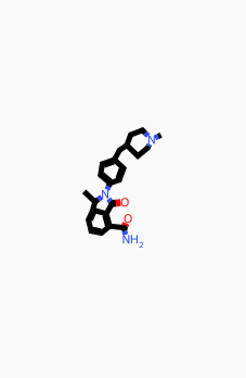 CC1c2cccc(C(N)=O)c2C(=O)N1c1ccc(CC2CCN(C)CC2)cc1